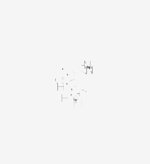 CCNC(=O)c1cc2c(-c3c(C4CCCCC4)nn(C)c3C3CCCCC3)cn(C)c(=O)c2[nH]1